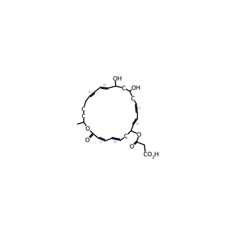 CC1CCC/C=C/C=C/C(O)CC(O)C/C=C\C=C\C(OC(=O)CC(=O)O)C/C=C/C=C\C(=O)O1